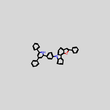 C1=C(c2ccccc2)C=C(c2ccccc2)NC1c1ccc(-n2c3ccccc3c3c4oc(-c5ccccc5)cc4ccc32)cc1